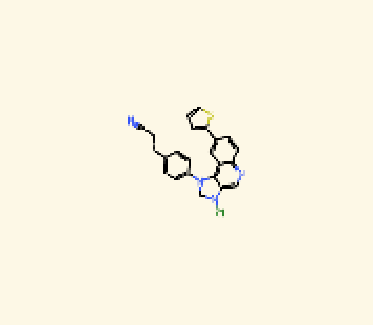 N#CCCc1ccc(N2CN(Cl)c3cnc4ccc(-c5cccs5)cc4c32)cc1